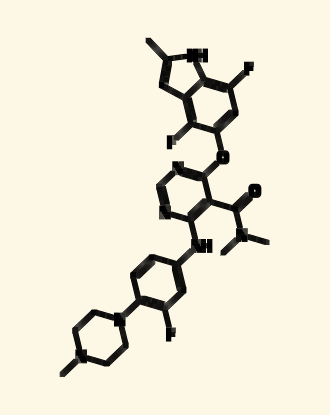 Cc1cc2c(F)c(Oc3ncnc(Nc4ccc(N5CCN(C)CC5)c(F)c4)c3C(=O)N(C)C)cc(F)c2[nH]1